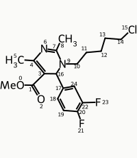 COC(=O)C1=C(C)N=C(C)N(CCCCCCl)C1c1ccc(F)c(F)c1